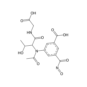 CC(=O)N(c1cc(C(=O)O)cc(C(=O)N=O)c1)C(C(=O)NCC(=O)O)C(C)O